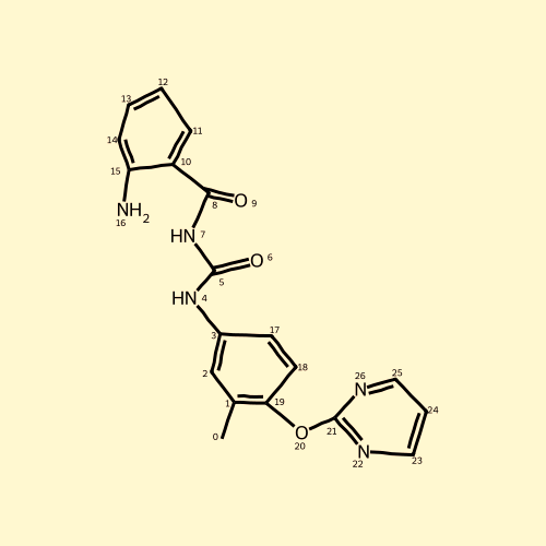 Cc1cc(NC(=O)NC(=O)c2ccccc2N)ccc1Oc1ncccn1